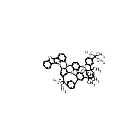 CC(C)(C)c1ccc2c(c1)-c1ccc(cc1)C(C)(C)c1cc3c4c(c1)-n1c5c(cccc5c5oc6ccccc6c51)B4c1ccc(N4c5ccc(C(C)(C)C)cc5C5(C)CCCCC45C)cc1N23